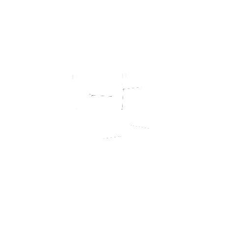 CC1(C)C(C(=O)O)C1C(O)C(Cl)Cl